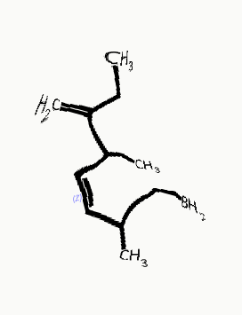 BCC(C)/C=C\C(C)C(=C)CC